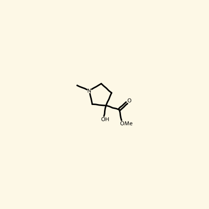 COC(=O)C1(O)CCN(C)C1